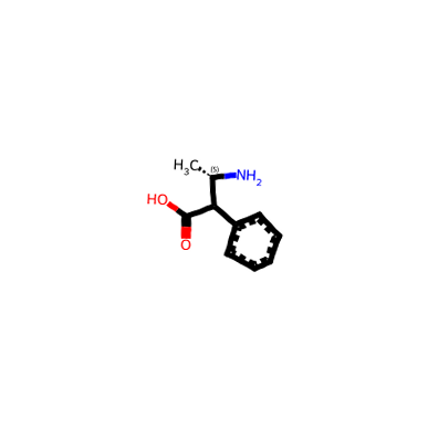 C[C@H](N)C(C(=O)O)c1ccccc1